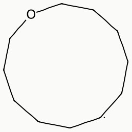 [CH]1CCCCCOCCCCC1